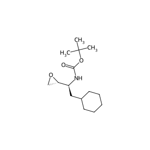 CC(C)(C)OC(=O)N[C@@H](CC1CCCCC1)[C@@H]1CO1